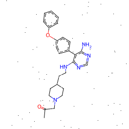 CC(=O)CN1CCC(CCNc2ncnc(N)c2-c2ccc(Oc3ccccc3)cc2)CC1